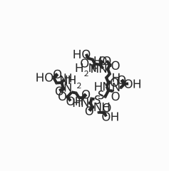 NC(CC(=O)O)C(=O)NC(CCC(=O)NC(CSSCC(NC(=O)CCC(NC(=O)C(N)CC(=O)O)C(=O)O)C(=O)NCC(=O)O)C(=O)NCC(=O)O)C(=O)O